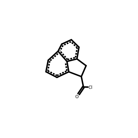 O=C(Cl)C1Cc2cccc3cccc1c23